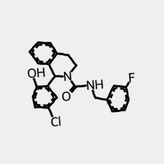 O=C(NCc1cccc(F)c1)N1CCc2ccccc2C1c1cc(Cl)ccc1O